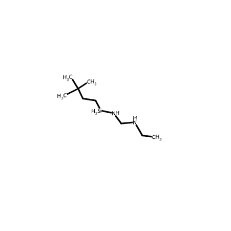 CCNCN[SiH2]CCC(C)(C)C